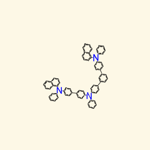 c1ccc(N(c2ccc(-c3ccc(N(c4ccccc4)c4cccc5ccccc45)cc3)cc2)c2ccc(-c3cccc(-c4ccc(N(c5ccccc5)c5cccc6ccccc56)cc4)c3)cc2)cc1